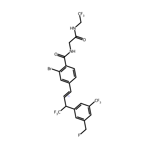 O=C(CNC(=O)c1ccc(/C=C/C(c2cc(CF)cc(C(F)(F)F)c2)C(F)(F)F)cc1Br)NCC(F)(F)F